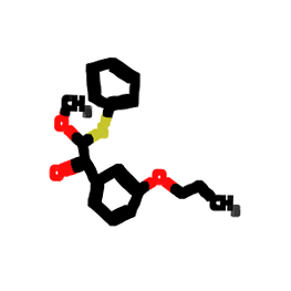 CCCOc1cccc(C(=O)C(OC)Sc2ccccc2)c1